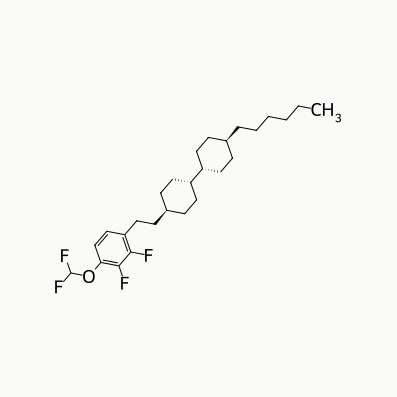 CCCCCC[C@H]1CC[C@H]([C@H]2CC[C@H](CCc3ccc(OC(F)F)c(F)c3F)CC2)CC1